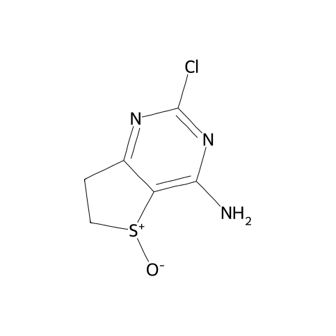 Nc1nc(Cl)nc2c1[S+]([O-])CC2